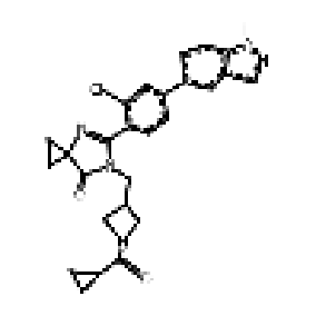 O=C(C1CC1)N1CC(CN2C(=O)C3(CC3)N=C2c2ccc(-c3ccc4[nH]ncc4c3)cc2Cl)C1